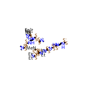 CCN(CC)C(=S)SSC(=S)N(CC)CC.CN(C)C(=S)SSC(=S)NCCNC(=S)SSC(=S)N(C)C.CN(C)C(=S)[S-].CN(C)C(=S)[S-].CN(C)C(=S)[S-].CNC(=S)S.S=C([S-])NCCNC(=S)[S-].[Fe+3].[Na+].[Na+]